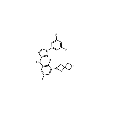 Cc1cc(Nc2ncn(-c3cc(F)cc(F)c3)n2)c(F)c(N2CC3(COC3)C2)c1